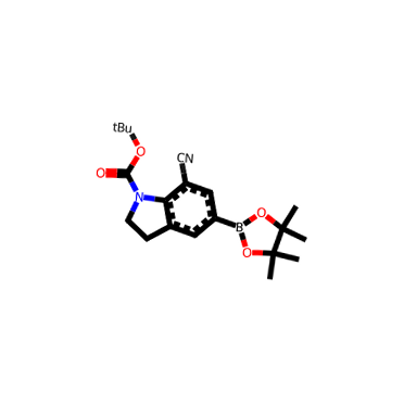 CC(C)(C)OC(=O)N1CCc2cc(B3OC(C)(C)C(C)(C)O3)cc(C#N)c21